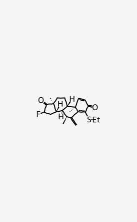 C=C1C2=C(SCC)C(=O)C=C[C@]2(C)[C@H]2CC[C@]3(C)C(=O)[C@H](F)C[C@H]3[C@@H]2[C@@H]1C